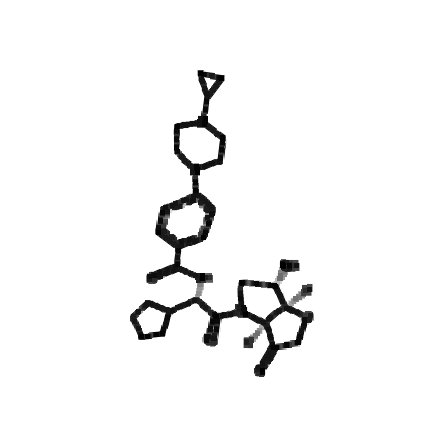 O=C(N[C@H](C(=O)N1C[C@H](O)[C@H]2OCC(=O)[C@H]21)C1CCCC1)c1ccc(N2CCN(C3CC3)CC2)cc1